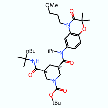 CCCCC(C)(C)NC(=O)[C@H]1C[C@@H](C(=O)N(c2ccc3c(c2)N(CCCOC)C(=O)C(C)(C)O3)C(C)C)CN(C(=O)OC(C)(C)C)C1